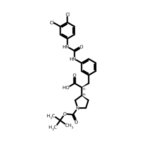 CC(C)(C)OC(=O)N1CC[C@H]([C@H](Cc2cccc(NC(=O)Nc3ccc(Cl)c(Cl)c3)c2)C(=O)O)C1